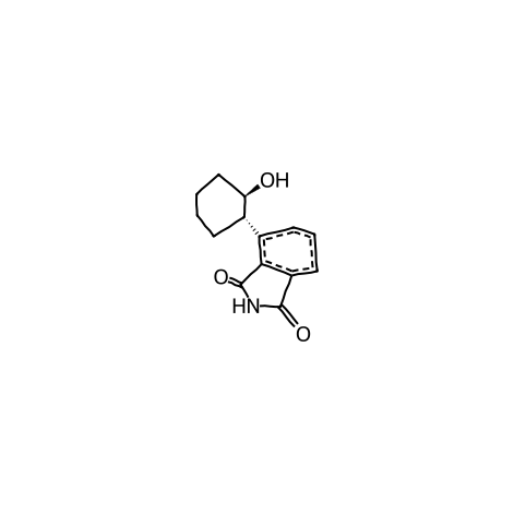 O=C1NC(=O)c2c1cccc2[C@@H]1CCCC[C@H]1O